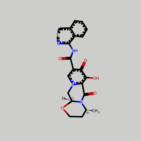 C[C@@H]1CCO[C@H]2Cn3cc(C(=O)Nc4nccc5ccccc45)c(=O)c(O)c3C(=O)N12